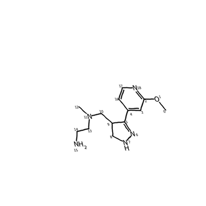 COc1cc(C2=NNCC2CN(C)CCN)ccn1